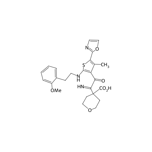 COc1ccccc1CCNc1sc(-c2ncco2)c(C)c1C(=O)C(=N)C1(C(=O)O)CCOCC1